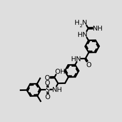 Cc1cc(C)c(S(=O)(=O)NC(Cc2ccc(NC(=O)c3cccc(NC(=N)N)c3)cc2)C(=O)O)c(C)c1